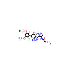 C=CC(=O)Nc1cnn(C)c1-c1n[nH]c2c1CC[C@@H](c1c(F)c(OC)cc(OC)c1Cl)C2